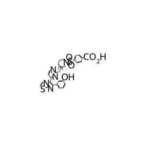 O=C(O)c1ccc(S(=O)(=O)N2CCC[C@@H](Cc3nccc(-c4c(-c5cccc(O)c5)nc5sccn45)n3)C2)cc1